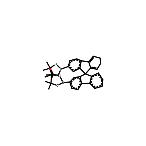 CC1(C)OB(c2ccc3c(c2)C2(C4=CCCC=C43)c3ccccc3-c3ccc(B4OC(C)(C)C(C)(C)O4)cc32)OC1(C)C